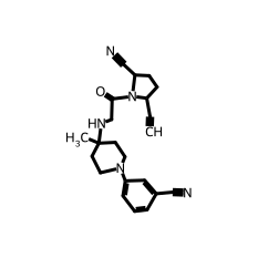 C#CC1CCC(C#N)N1C(=O)CNC1(C)CCN(c2cccc(C#N)c2)CC1